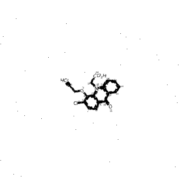 C#CCOc1c(Cl)ccc2c(=O)c3ccccc3n(CC(=O)O)c12